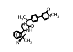 C[C@@H](c1ccc(-c2ccn(C)c(=O)c2)cc1)N1CC[C@](CC(C)(C)C#N)(c2ccccc2)NC1=O